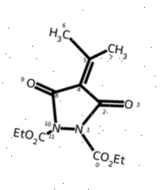 CCOC(=O)N1C(=O)C(=C(C)C)C(=O)N1C(=O)OCC